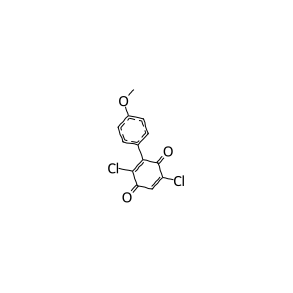 COc1ccc(C2=C(Cl)C(=O)C=C(Cl)C2=O)cc1